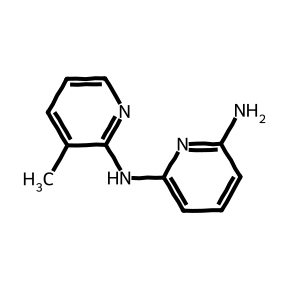 Cc1cccnc1Nc1cccc(N)n1